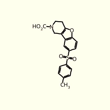 Cc1ccc(S(=O)(=O)c2ccc3oc4c(c3c2)CN(C(=O)O)CC4)cc1